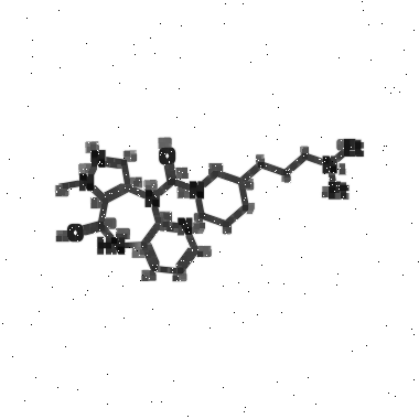 CCN(CC)CCCC1CCCN(C(=O)N2c3cnn(C)c3C(=O)Nc3cccnc32)C1